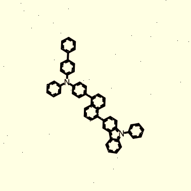 c1ccc(-c2ccc(N(c3ccccc3)c3ccc(-c4cccc5c(-c6ccc7c(c6)c6ccccc6n7-c6ccccc6)cccc45)cc3)cc2)cc1